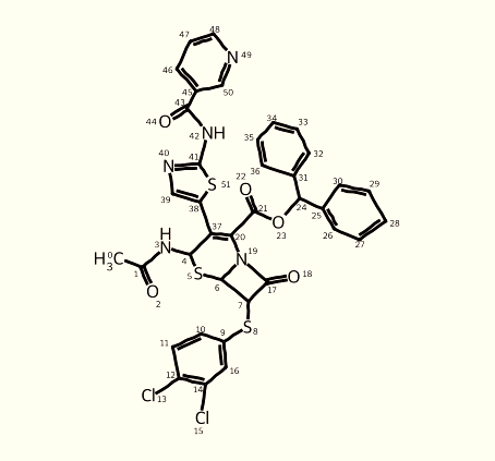 CC(=O)NC1SC2C(Sc3ccc(Cl)c(Cl)c3)C(=O)N2C(C(=O)OC(c2ccccc2)c2ccccc2)=C1c1cnc(NC(=O)c2cccnc2)s1